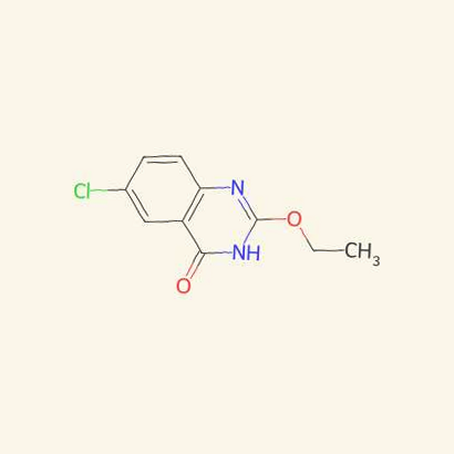 CCOc1nc2ccc(Cl)cc2c(=O)[nH]1